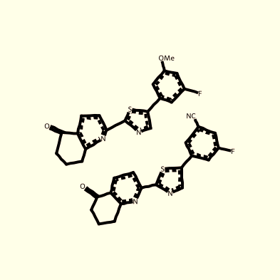 COc1cc(F)cc(-c2cnc(-c3ccc4c(n3)CCCC4=O)s2)c1.N#Cc1cc(F)cc(-c2cnc(-c3ccc4c(n3)CCCC4=O)s2)c1